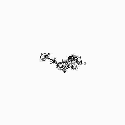 CC(C)CC(NC(=O)CNC(=O)C(O)CSC1CC(=O)N(CCCCN2C[C@@H](O)[C@@H](O)[C@H](O)[C@H]2CO)C1=O)C(=O)NC(CCCNC(=N)N)C(=O)NC(CCC(N)=O)C(=O)NC(Cc1ccc(O)cc1)C(=O)NC(=O)C(CC(=O)O)NC(=O)C(CO)NC(C)C(=O)NC(N)C=O